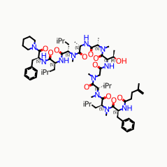 C=C(C)CCC(=O)N[C@@H](Cc1ccccc1)C(=O)N(C)[C@@H](CC(C)C)C(=O)N(C)[C@H](C(=O)N(C)CC(=O)N[C@H](C(=O)N(C)[C@@H](C)C(=O)N[C@@H](C)C(=O)N(C)[C@@H](CC(C)C)C(=O)N[C@@H](CC(C)C)C(=O)N[C@@H](Cc1ccccc1)C(=O)N1CCCCC1)[C@@H](C)O)C(C)C